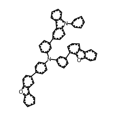 c1ccc(-n2c3ccccc3c3cc(-c4cccc(N(c5ccc(-c6ccc7oc8ccccc8c7c6)cc5)c5cccc(-c6cccc7c6oc6ccccc67)c5)c4)ccc32)cc1